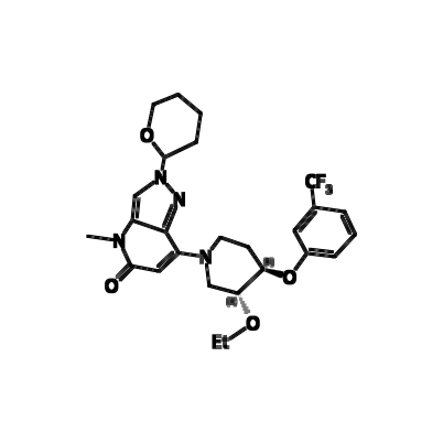 CCO[C@@H]1CN(c2cc(=O)n(C)c3cn(C4CCCCO4)nc23)CC[C@H]1Oc1cccc(C(F)(F)F)c1